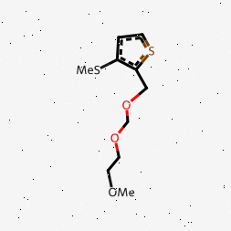 COCCOCOCc1sccc1SC